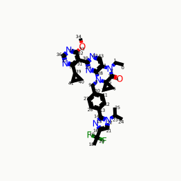 CCN1C(=O)C2(CC2)N(Cc2ccc(-c3nc(C(C)(F)F)cn3C(C)C)cc2)c2nc(-c3c(OC)ncnc3C3CC3)ncc21